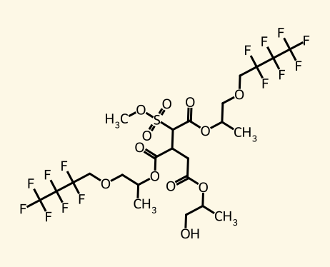 COS(=O)(=O)C(C(=O)OC(C)COCC(F)(F)C(F)(F)C(F)(F)F)C(CC(=O)OC(C)CO)C(=O)OC(C)COCC(F)(F)C(F)(F)C(F)(F)F